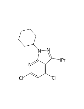 CC(C)c1nn(C2CCCCC2)c2nc(Cl)cc(Cl)c12